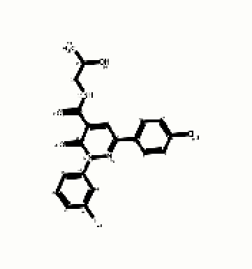 Cc1ccc(-c2cc(C(=O)NCC(C)O)c(=O)n(-c3cccc(F)c3)n2)cc1